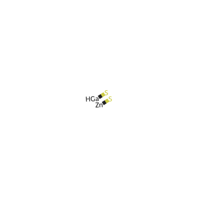 [S]=[GaH].[S]=[Zn]